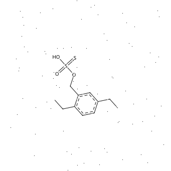 CCc1ccc(CC)c(COS(=O)(O)=S)c1